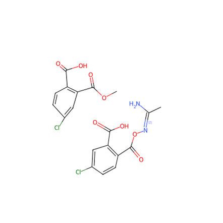 C/C(N)=N/OC(=O)c1ccc(Cl)cc1C(=O)O.COC(=O)c1cc(Cl)ccc1C(=O)O